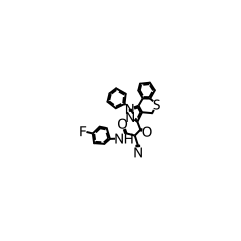 N#CC(C(=O)Nc1ccc(F)cc1)C(=O)c1nn(-c2ccccc2)c2c1CSc1ccccc1-2